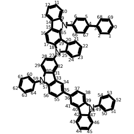 c1ccc(-c2ccc(-n3c4ccccc4c4ccc5c(c6ccccc6n5-c5ccc6c(c5)c5cc(-c7ccc8c(c7)c7ccccc7n8-c7ccccc7)ccc5n6-c5ccccc5)c43)cc2)cc1